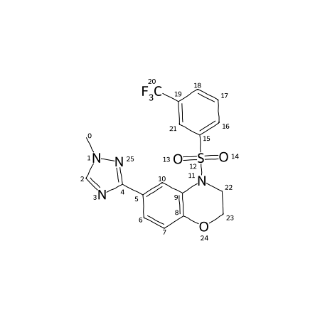 Cn1cnc(-c2ccc3c(c2)N(S(=O)(=O)c2cccc(C(F)(F)F)c2)CCO3)n1